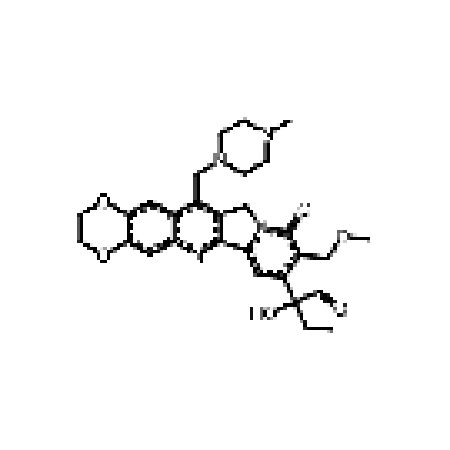 CCC(O)(C=O)c1cc2n(c(=O)c1COC)Cc1c-2nc2cc3c(cc2c1CN1CCN(C)CC1)OCCO3